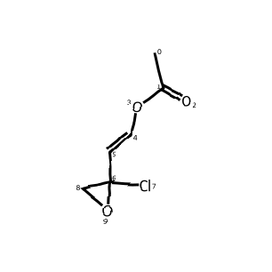 CC(=O)OC=CC1(Cl)CO1